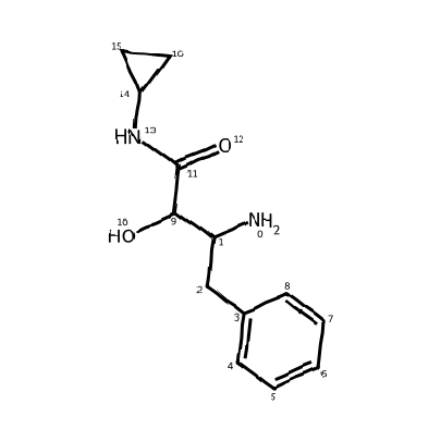 NC(Cc1ccccc1)C(O)C(=O)NC1CC1